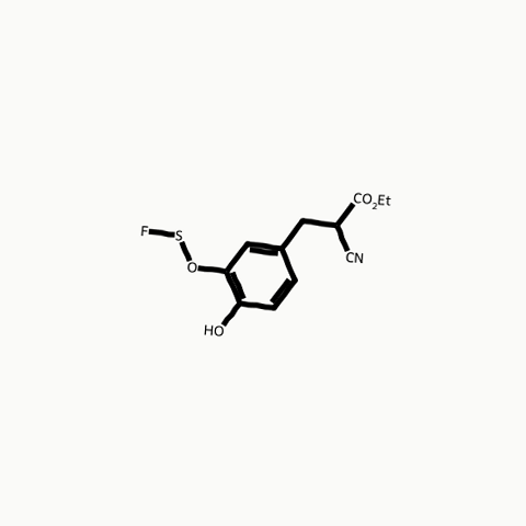 CCOC(=O)C(C#N)Cc1ccc(O)c(OSF)c1